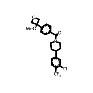 COC1(c2ccc(C(=O)N3CCC(c4ccc(C(F)(F)F)c(Cl)c4)CC3)cc2)COC1